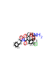 CC(C)(CC(C(=O)N1C(=O)OC[C@@H]1Cc1ccccc1)c1ccc(Cl)cc1)OC(N)=O